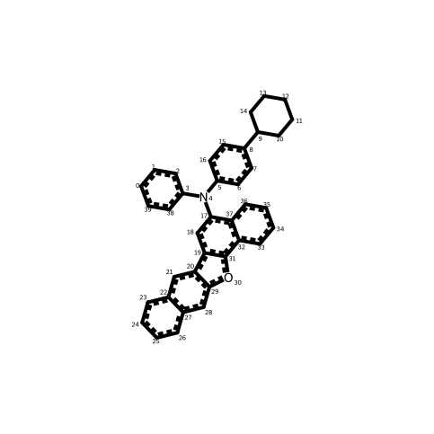 c1ccc(N(c2ccc(C3CCCCC3)cc2)c2cc3c4cc5ccccc5cc4oc3c3ccccc23)cc1